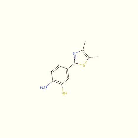 Cc1nc(-c2ccc(N)c(S)c2)sc1C